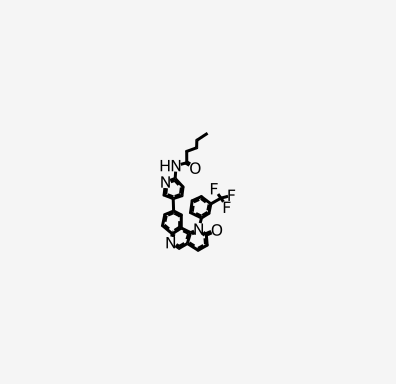 CCCCC(=O)Nc1ccc(-c2ccc3ncc4ccc(=O)n(-c5cccc(C(F)(F)F)c5)c4c3c2)cn1